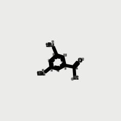 CCC(=O)c1cc(C(C)(C)C)cc(C(C)(C)C)c1